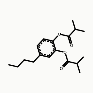 CCCCc1ccc(OC(=O)C(C)C)c(OC(=O)C(C)C)c1